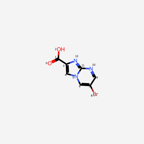 O=C(O)c1cn2cc(Br)cnc2n1